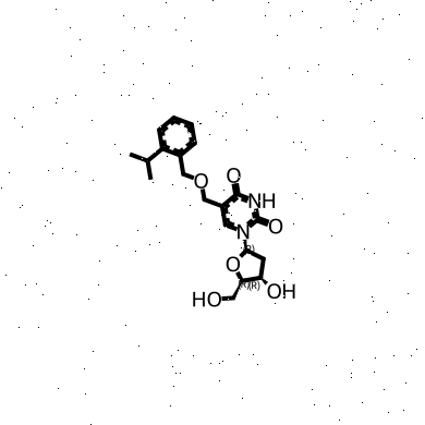 CC(C)c1ccccc1COCc1cn([C@H]2C[C@@H](O)[C@@H](CO)O2)c(=O)[nH]c1=O